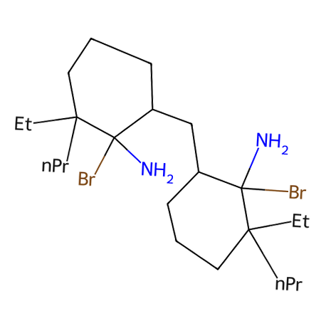 CCCC1(CC)CCCC(CC2CCCC(CC)(CCC)C2(N)Br)C1(N)Br